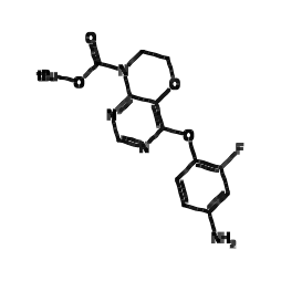 CC(C)(C)OC(=O)N1CCOc2c(Oc3ccc(N)cc3F)ncnc21